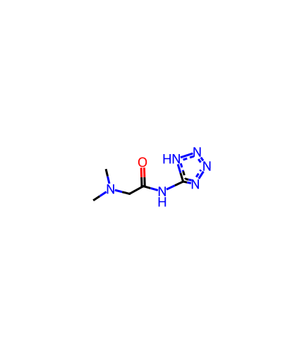 CN(C)CC(=O)Nc1nnn[nH]1